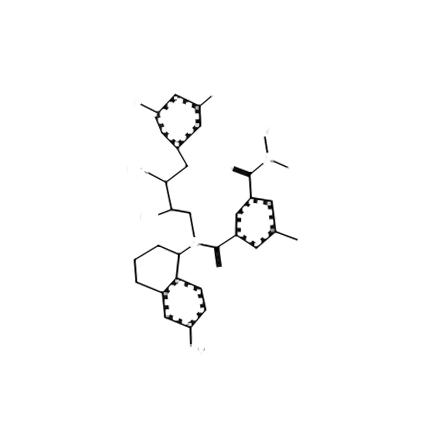 CCCN(CCC)C(=O)c1cc(C)cc(C(=O)N(CC(O)C(N)Cc2cc(F)cc(F)c2)C2CCCc3cc(OC)ccc32)c1